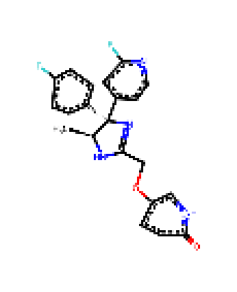 C[C@@H]1NC(COc2ccc(=O)[nH]c2)=N[C@]1(c1ccc(F)cc1)c1ccnc(F)c1